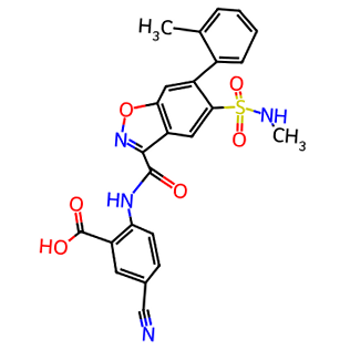 CNS(=O)(=O)c1cc2c(C(=O)Nc3ccc(C#N)cc3C(=O)O)noc2cc1-c1ccccc1C